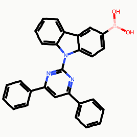 OB(O)c1ccc2c(c1)c1ccccc1n2-c1nc(-c2ccccc2)cc(-c2ccccc2)n1